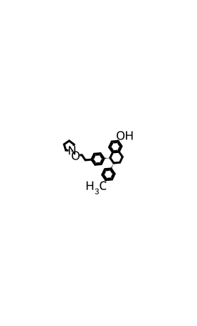 Cc1ccc([C@H]2CCc3cc(O)ccc3[C@H]2c2ccc(CCON3CCCC3)cc2)cc1